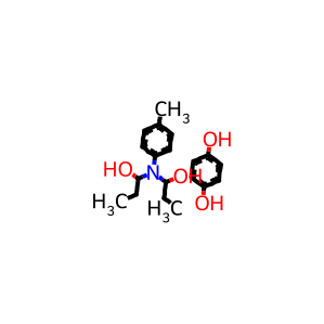 CCC(O)N(c1ccc(C)cc1)C(O)CC.Oc1ccc(O)cc1